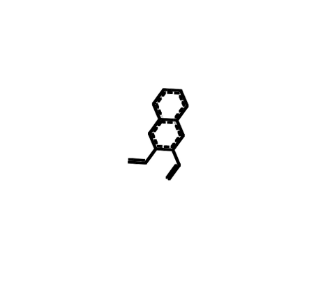 C=Cc1cc2ccccc2cc1C=C